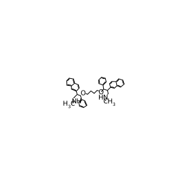 CNCC(c1ccc2ccccc2c1)C(OCCCCOC(c1ccccc1)C(CNC)c1ccc2ccccc2c1)c1ccccc1